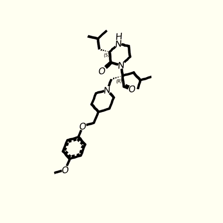 COc1ccc(OCC2CCN(C[C@@](C=O)(CC(C)C)N3CCN[C@@H](CC(C)C)C3=O)CC2)cc1